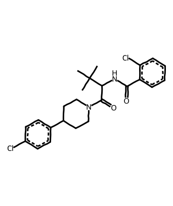 CC(C)(C)C(NC(=O)c1ccccc1Cl)C(=O)N1CCC(c2ccc(Cl)cc2)CC1